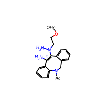 CC(=O)N1Cc2ccccc2/C(N(N)CCOC=O)=C(/N)c2ccccc21